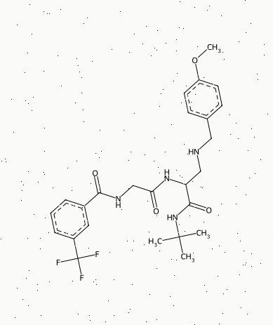 COc1ccc(CNCC(NC(=O)CNC(=O)c2cccc(C(F)(F)F)c2)C(=O)NC(C)(C)C)cc1